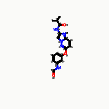 CC(C)C(=O)Nc1cn2nc(Oc3cccc(NC=O)c3)ccc2n1